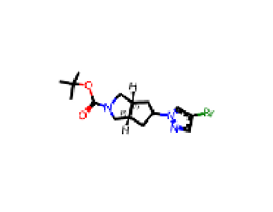 CC(C)(C)OC(=O)N1C[C@H]2CC(n3cc(Br)cn3)C[C@H]2C1